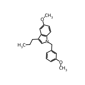 CCCc1cn(Cc2cccc(OC)c2)c2ccc(OC)cc12